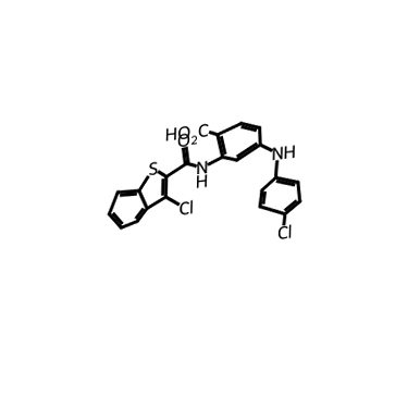 O=C(O)c1ccc(Nc2ccc(Cl)cc2)cc1NC(=O)c1sc2ccccc2c1Cl